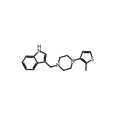 Cc1sccc1N1CCN(Cc2c[nH]c3ccccc23)CC1